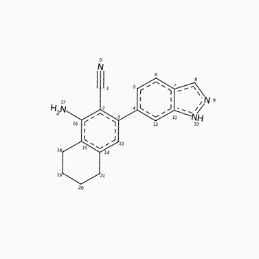 N#Cc1c(-c2ccc3cn[nH]c3c2)cc2c(c1N)CCCC2